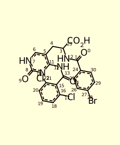 O=C(NC(Cc1c[nH]c(=O)nc1NC(=O)c1c(Cl)cccc1Cl)C(=O)O)c1ccc(Br)cc1